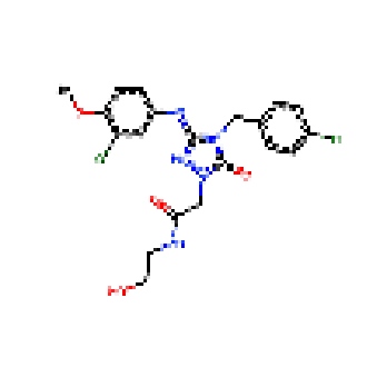 CC(C)Oc1ccc(/N=c2\[nH]n(CC(=O)NCCO)c(=O)n2Cc2ccc(Cl)cc2)cc1Cl